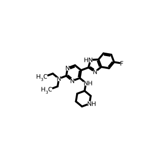 CCN(CC)c1ncc(-c2nc3cc(F)ccc3[nH]2)c(NC2CCCNC2)n1